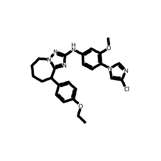 CCOc1ccc(C2CCCCn3nc(Nc4ccc(-n5cnc(Cl)c5)c(OC)c4)nc32)cc1